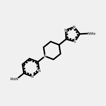 CNc1ccc(N2CCC(c3nnc(NC)s3)CC2)nn1